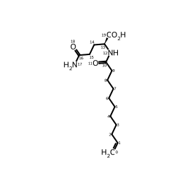 C=CCCCCCCCCC(=O)N[C@@H](CCC(N)=O)C(=O)O